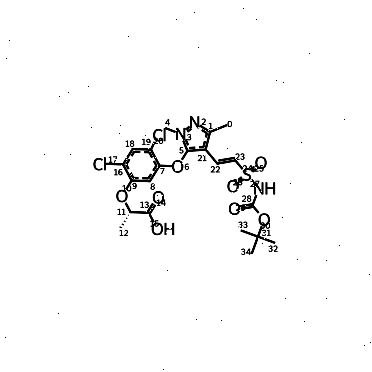 Cc1nn(C)c(Oc2cc(O[C@@H](C)C(=O)O)c(Cl)cc2Cl)c1C=CS(=O)(=O)NC(=O)OC(C)(C)C